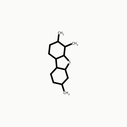 CC1CCC2C(C1)SC1C(C)C(C)CCC21